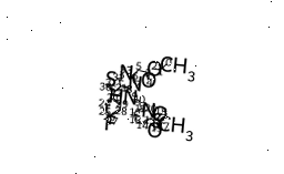 CCOC(=O)Cc1nc(NCc2cccc(S(C)(=O)=O)n2)c2c(-c3ccc(F)cc3)csc2n1